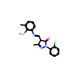 CC1=NN(c2ccccc2Cl)C(=O)C1/C=N/c1cccc(C)c1C(=O)O